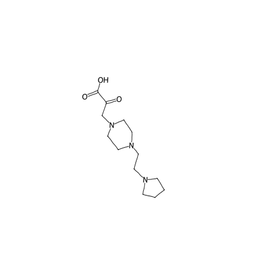 O=C(O)C(=O)CN1CCN(CCN2CCCC2)CC1